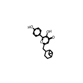 O=c1cc(CC2CCC3C4C2C34)oc(-c2ccc(O)cc2)c1O